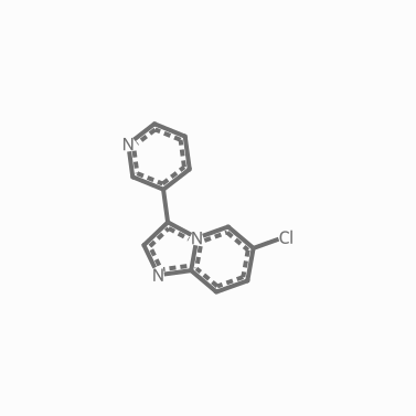 Clc1ccc2ncc(-c3cccnc3)n2c1